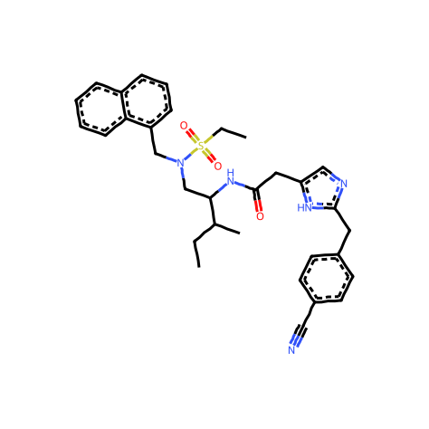 CCC(C)C(CN(Cc1cccc2ccccc12)S(=O)(=O)CC)NC(=O)Cc1cnc(Cc2ccc(C#N)cc2)[nH]1